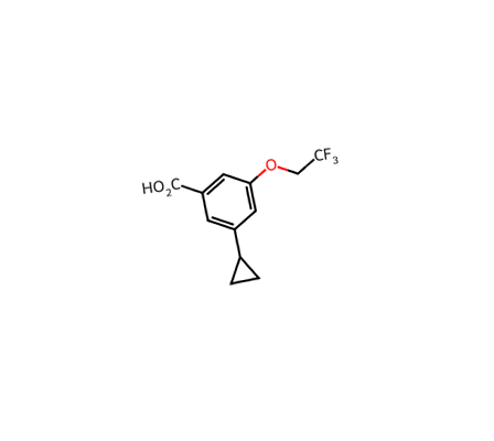 O=C(O)c1cc(OCC(F)(F)F)cc(C2CC2)c1